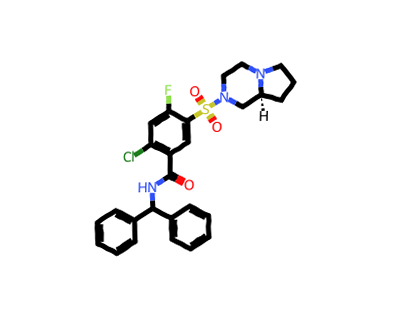 O=C(NC(c1ccccc1)c1ccccc1)c1cc(S(=O)(=O)N2CCN3CCC[C@H]3C2)c(F)cc1Cl